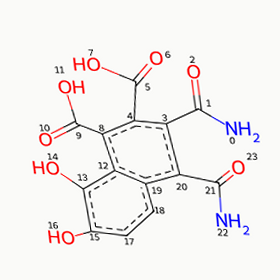 NC(=O)c1c(C(=O)O)c(C(=O)O)c2c(O)c(O)ccc2c1C(N)=O